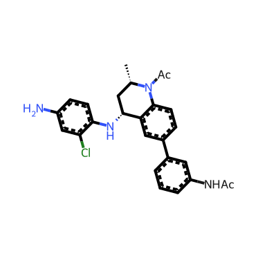 CC(=O)Nc1cccc(-c2ccc3c(c2)[C@H](Nc2ccc(N)cc2Cl)C[C@H](C)N3C(C)=O)c1